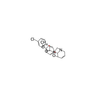 COc1ccc(C2C3C=CCN2CN(C(=O)Cc2ccc(Cl)cc2)O3)cc1